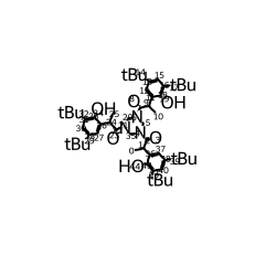 CC(C(=O)N1CN(C(=O)C(C)c2cc(C(C)(C)C)cc(C(C)(C)C)c2O)CN(C(=O)C(C)c2cc(C(C)(C)C)cc(C(C)(C)C)c2O)C1)c1cc(C(C)(C)C)cc(C(C)(C)C)c1O